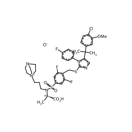 COc1cc(C(C)(C)c2cnc(SCc3c(F)cc(S(=O)(=O)N(CCC[N+]45CCN(CC4)CC5)[C@H](C)C(=O)O)cc3F)n2-c2ccc(F)cc2)ccc1Cl.[Cl-]